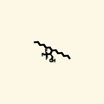 CCCCCCC(CCCCCC)[C@@H](CO)C(F)(F)F